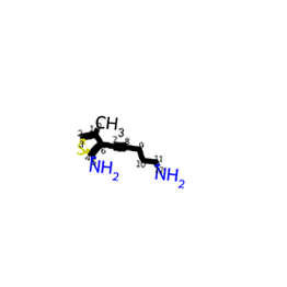 Cc1csc(N)c1C#CCCCN